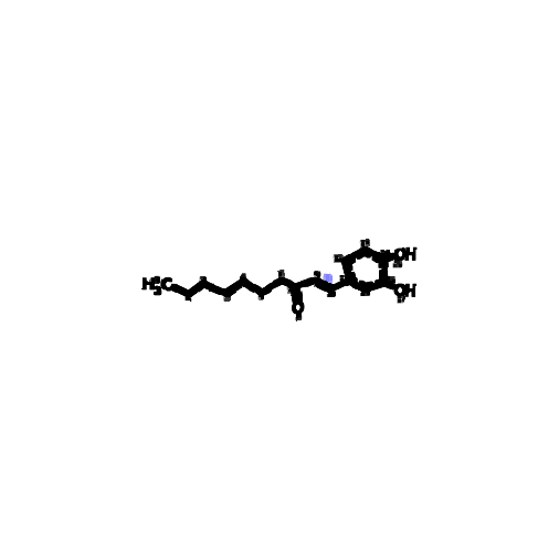 CCCCCCCC(=O)/C=C/c1ccc(O)c(O)c1